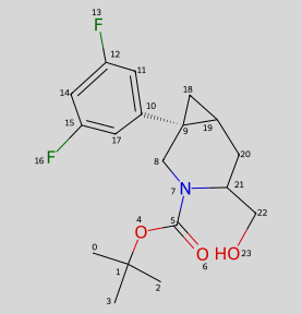 CC(C)(C)OC(=O)N1C[C@@]2(c3cc(F)cc(F)c3)CC2CC1CO